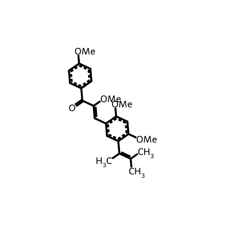 COC(=Cc1cc(C(C)=C(C)C)c(OC)cc1OC)C(=O)c1ccc(OC)cc1